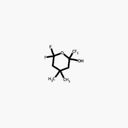 CC1(C)CC(F)(F)OC(O)(C(F)(F)F)C1